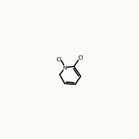 ClC1=CC=CCN1Cl